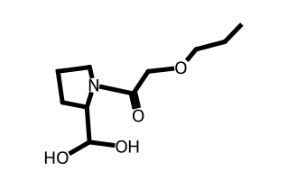 CCCOCC(=O)N1CCCC1C(O)O